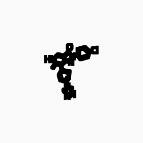 Cc1[nH]cc2c(=O)n(-c3ccc(Cl)cc3)nc-2c1-c1ccc(-n2cnnc2)cc1